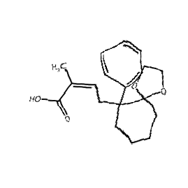 CC(=CCC1(c2ccccc2)CCCCC12OCCO2)C(=O)O